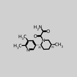 Cc1cc([C@H]2CC[C@H](C)CN2C(=O)C(N)=O)cnc1C